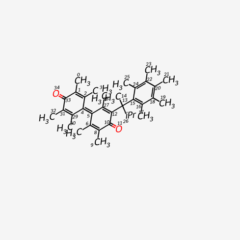 CC1=C(C)C(=C2C(C)=C(C)C(=O)C(C(C)(c3c(C)c(C)c(C)c(C)c3C)C(C)C)=C2C)C(C)=C(C)C1=O